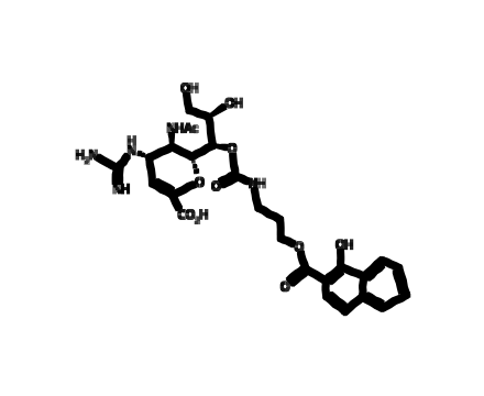 CC(=O)N[C@H]1[C@H]([C@H](OC(=O)NCCCOC(=O)c2ccc3ccccc3c2O)[C@H](O)CO)OC(C(=O)O)=C[C@@H]1NC(=N)N